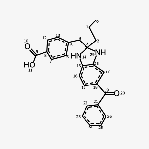 CCCC1(Cc2ccc(C(=O)O)cc2)Nc2ccc(C(=O)c3ccccc3)cc2N1